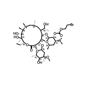 CC[C@H]1OC(=O)[C@H](C)[C@@H](O[C@H]2C[C@@](C)(OC)[C@@H](O)[C@H](C)O2)[C@H](C)[C@@H](O[C@@H]2O[C@H](C)C[C@H](N(C)C)[C@H]2OC(=O)OCCBr)C([C@@H](C)O)C[C@@H](C)CN(C)[C@H](C)[C@@H](O)[C@]1(C)O